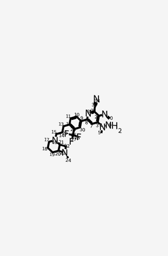 C=Nc1c(N(C)N)cc(-c2ccc(CCCN3CCCC4C3CN4C)c(C(F)(F)F)c2)nc1C#N